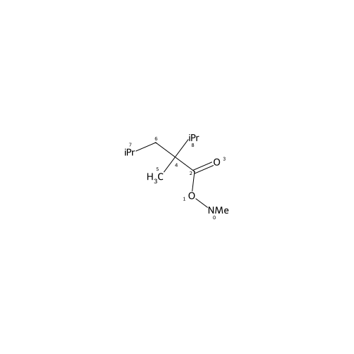 CNOC(=O)C(C)(CC(C)C)C(C)C